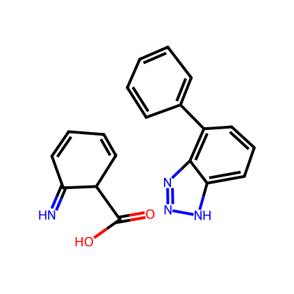 N=C1C=CC=CC1C(=O)O.c1ccc(-c2cccc3[nH]nnc23)cc1